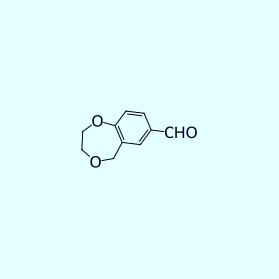 O=Cc1ccc2c(c1)COCCO2